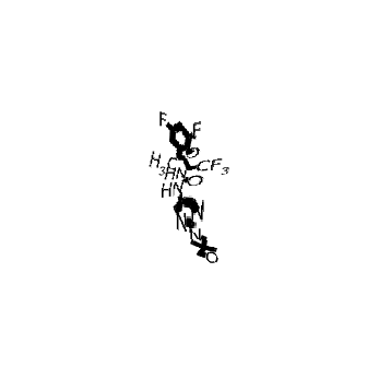 Cc1c(C(NC(=O)Nc2cnc(N3CC4(COC4)C3)nc2)C(F)(F)F)oc2c(F)cc(F)cc12